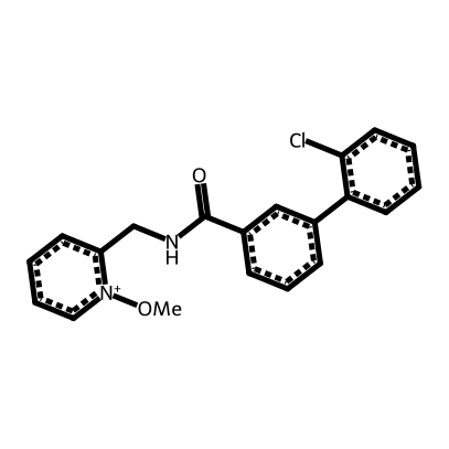 CO[n+]1ccccc1CNC(=O)c1cccc(-c2ccccc2Cl)c1